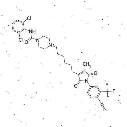 CC1=C(CCCCCCN2CCN(C(=O)Nc3c(Cl)cccc3Cl)CC2)C(=O)N(c2ccc(C#N)c(C(F)(F)F)c2)C1=O